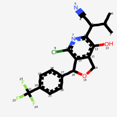 CC(C)C(C#N)c1nc(Cl)c2c(c1O)COC2c1ccc(C(F)(F)F)cc1